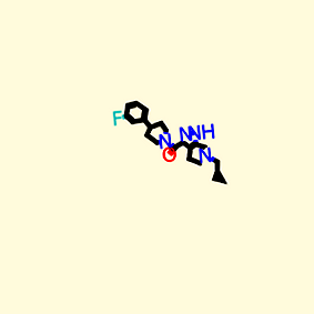 O=C(c1n[nH]c2c1CCN(CC1CC1)C2)N1CCC(c2cccc(F)c2)CC1